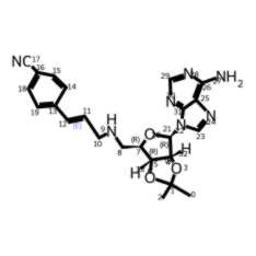 CC1(C)O[C@@H]2[C@H](O1)[C@@H](CNC/C=C/c1ccc(C#N)cc1)O[C@H]2n1cnc2c(N)ncnc21